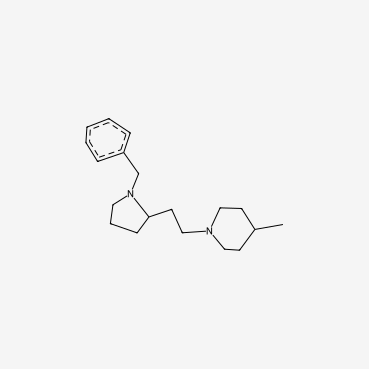 CC1CCN(CCC2CCCN2Cc2ccccc2)CC1